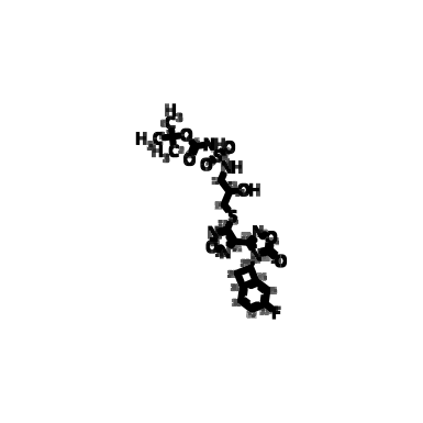 CC(C)(C)OC(=O)NS(=O)(=O)NCC(O)CSc1nonc1-c1noc(=O)n1[C@H]1Cc2ccc(F)cc21